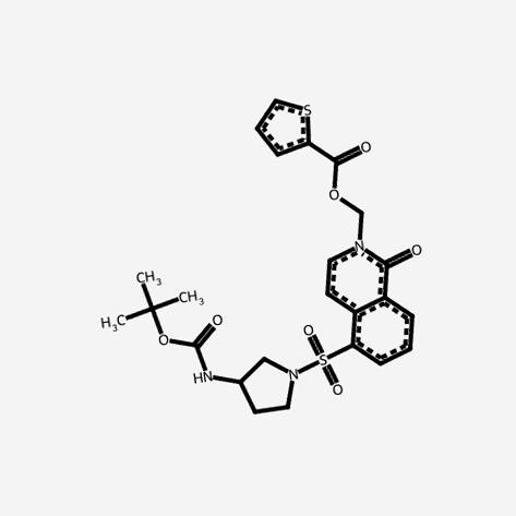 CC(C)(C)OC(=O)NC1CCN(S(=O)(=O)c2cccc3c(=O)n(COC(=O)c4cccs4)ccc23)C1